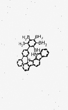 Bc1c(B)c(B)c(-c2ccc(-c3ccccc3)c(-n3c4ccccc4c4ccc5c6ccccc6[nH]c5c43)c2)c(B)c1B